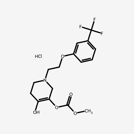 COC(=O)OC1=C(O)CCN(CCOc2cccc(C(F)(F)F)c2)C1.Cl